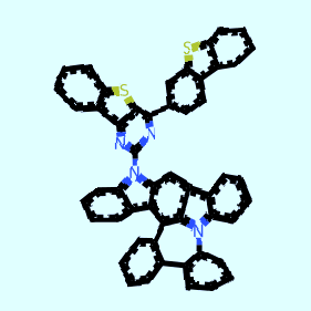 c1ccc2c(c1)-c1ccccc1-n1c3ccccc3c3cc4c(c-2c31)c1ccccc1n4-c1nc(-c2ccc3c(c2)sc2ccccc23)c2sc3ccccc3c2n1